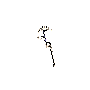 C=C\C(=C/C=C(C)/C=C/c1ccc(CCCCCCCCCF)nc1)N(C)C